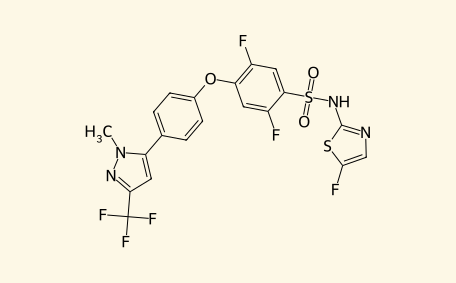 Cn1nc(C(F)(F)F)cc1-c1ccc(Oc2cc(F)c(S(=O)(=O)Nc3ncc(F)s3)cc2F)cc1